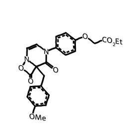 CCOC(=O)COc1ccc(N2C=CN3OC(=O)C3(Cc3ccc(OC)cc3)C2=O)cc1